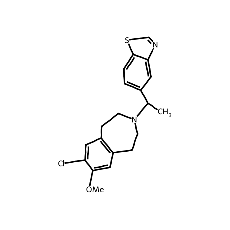 COc1cc2c(cc1Cl)CCN(C(C)c1ccc3scnc3c1)CC2